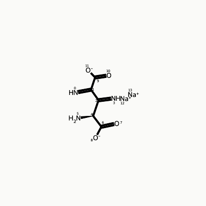 N=C(C(=N)[C@H](N)C(=O)[O-])C(=O)[O-].[Na+].[Na+]